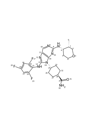 C[C@@H]1COCC[C@@H]1Nc1ncc2nc(Nc3c(F)cc(F)cc3F)n([C@H]3CC[C@H](C(N)=O)CC3)c2n1